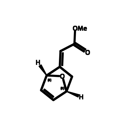 COC(=O)C=C1C[C@@H]2C=C[C@H]1O2